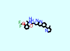 Cc1cccnc1-c1ccc2nc(N)c(CCC(=O)NC(C)c3ccccc3OC(F)F)cc2c1